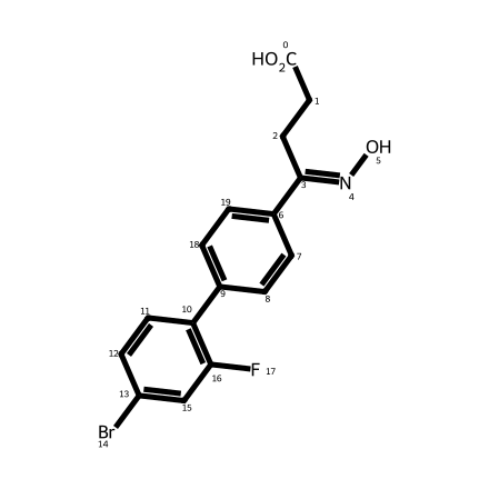 O=C(O)CC/C(=N\O)c1ccc(-c2ccc(Br)cc2F)cc1